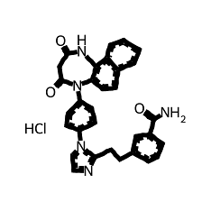 Cl.NC(=O)c1cccc(CCc2nccn2-c2ccc(N3C(=O)CC(=O)Nc4c3ccc3ccccc43)cc2)c1